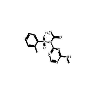 CNc1ncnc(N(C(N)=O)S(=O)(=O)c2ccccc2C)n1